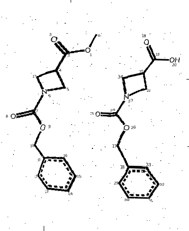 COC(=O)C1CN(C(=O)OCc2ccccc2)C1.O=C(O)C1CN(C(=O)OCc2ccccc2)C1